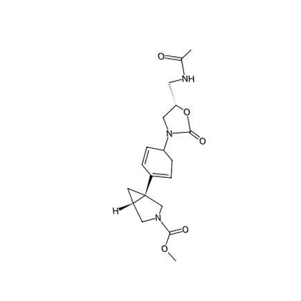 COC(=O)N1C[C@@H]2C[C@]2(C2=CCC(N3C[C@H](CNC(C)=O)OC3=O)C=C2)C1